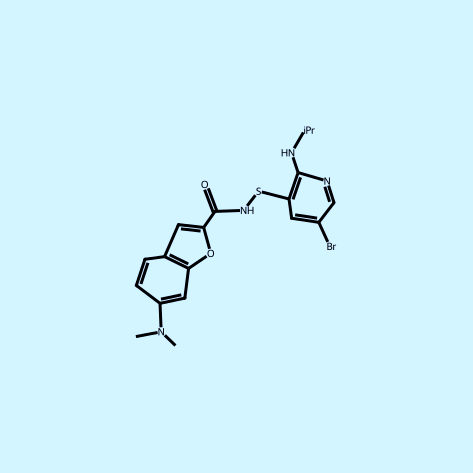 CC(C)Nc1ncc(Br)cc1SNC(=O)c1cc2ccc(N(C)C)cc2o1